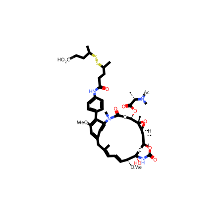 COc1cc2cc(c1-c1ccc(NC(=O)CCC(C)SSC(C)CCC(=O)O)cc1)N(C)C(=O)C[C@H](OC(=O)[C@H](C)N(C)C(C)=O)[C@]1(C)O[C@H]1[C@H](C)[C@@H]1C[C@@](O)(NC(=O)O1)[C@H](OC)/C=C/C=C(\C)C2